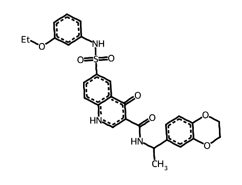 CCOc1cccc(NS(=O)(=O)c2ccc3[nH]cc(C(=O)NC(C)c4ccc5c(c4)OCCO5)c(=O)c3c2)c1